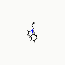 C=CCn1ccc2cc[c]cc21